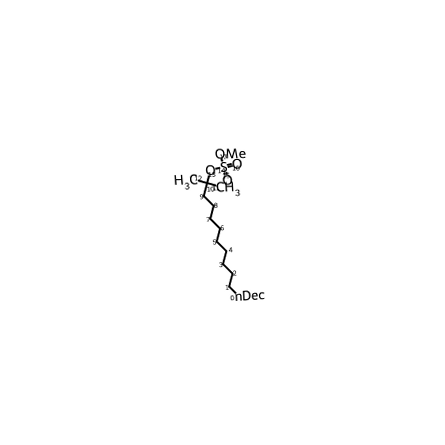 CCCCCCCCCCCCCCCCCCCC(C)(C)OS(=O)(=O)OC